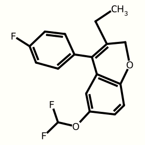 CCC1=C(c2ccc(F)cc2)c2cc(OC(F)F)ccc2OC1